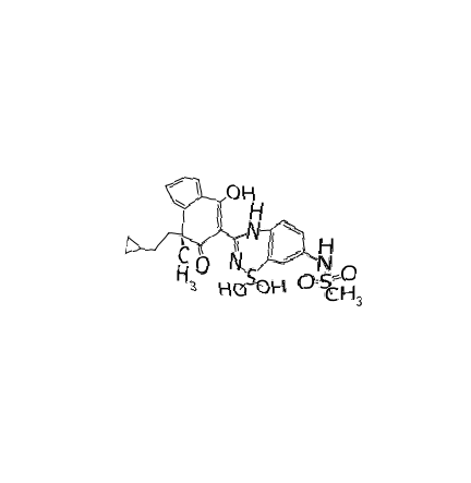 C[C@]1(CCC2CC2)C(=O)C(C2=NS(O)(O)c3cc(NS(C)(=O)=O)ccc3N2)=C(O)c2ccccc21